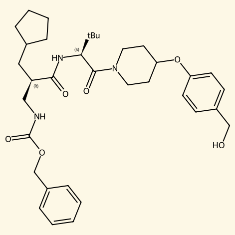 CC(C)(C)[C@H](NC(=O)[C@@H](CNC(=O)OCc1ccccc1)CC1CCCC1)C(=O)N1CCC(Oc2ccc(CO)cc2)CC1